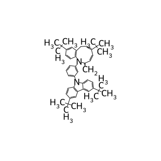 C=C1/C=C\C(C(C)(C)C)=C/Cc2cc(C(C)(C)C)ccc2N1c1cccc(-n2c3ccc(C(C)(C)C)cc3c3cc(C(C)(C)C)ccc32)c1